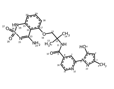 Cc1cc(O)n(-c2cc(C(=O)NC(C)(C)COc3cccc4c3C(N)=NS(=O)(=O)N4)ccn2)n1